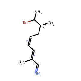 C/C(C=N)=C\C=C/C[C@H](C)C(C)Br